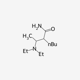 CCCCC(C(N)=O)C(C)N(CC)CC